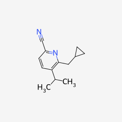 CC(C)c1ccc(C#N)nc1CC1CC1